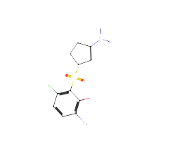 CN(C)C1CC[C@H](S(=O)(=O)c2c(Cl)ccc(N)c2O)C1